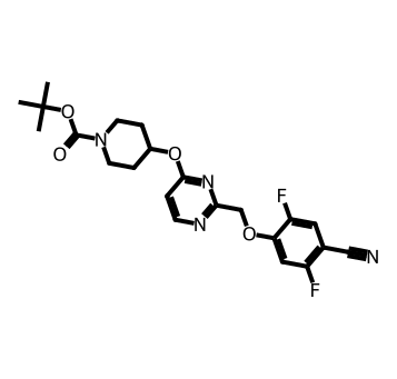 CC(C)(C)OC(=O)N1CCC(Oc2ccnc(COc3cc(F)c(C#N)cc3F)n2)CC1